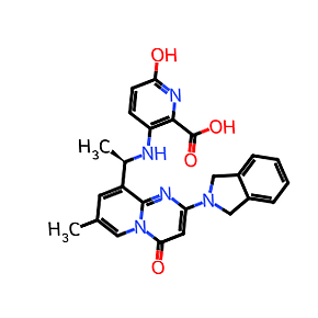 Cc1cc([C@@H](C)Nc2ccc(O)nc2C(=O)O)c2nc(N3Cc4ccccc4C3)cc(=O)n2c1